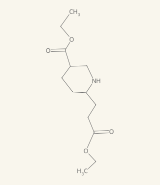 CCOC(=O)CCC1CCC(C(=O)OCC)CN1